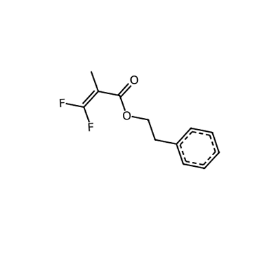 CC(C(=O)OCCc1ccccc1)=C(F)F